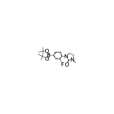 CN1CCN(c2ccc(B3OC(C)(C)C(C)(C)O3)cc2F)C1=O